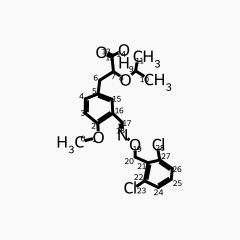 COc1ccc(CC(OC(C)C)C(=O)O)cc1C=NOCc1c(Cl)cccc1Cl